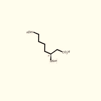 CCCCCCCCCCCCCC[C@H](CCCCCCCCC)CC(=O)O